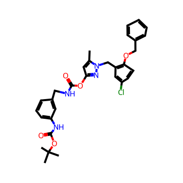 Cc1cc(OC(=O)NCc2cccc(NC(=O)OC(C)(C)C)c2)nn1Cc1cc(Cl)ccc1OCc1ccccc1